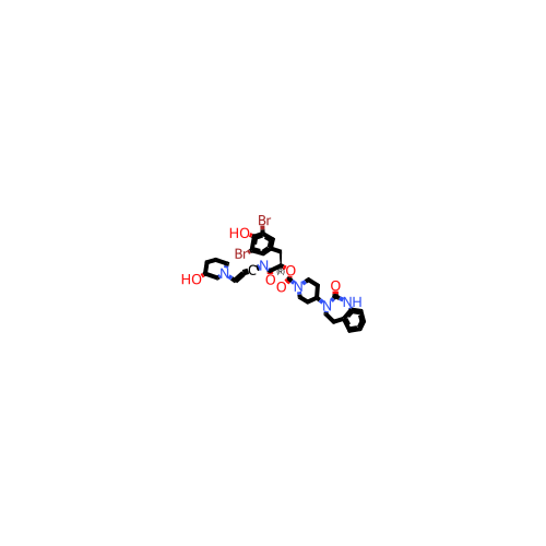 O=C(N=C=C=CN1CCCC(O)C1)[C@@H](Cc1cc(Br)c(O)c(Br)c1)OC(=O)N1CCC(N2CCc3ccccc3NC2=O)CC1